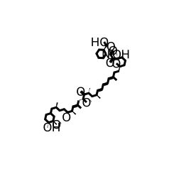 CO[C@H](C/C(C)=C/[C@@H](C)C(=O)CC[C@H](C)CC1CC[C@@H](O)[C@H](OC)C1)C(=O)[C@H](C)C[C@H](C)/C=C/C=C/C=C(\C)CC[C@@H]1CC[C@@H](C)[C@](O)(C(=O)C(=O)N2CCCC[C@H]2C(=O)O)O1